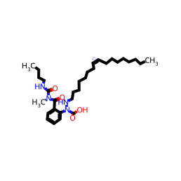 CCCCCCCC/C=C\CCCCCCCNN(C(=O)O)c1ccccc1C(=O)N(C)C(=O)NCCCC